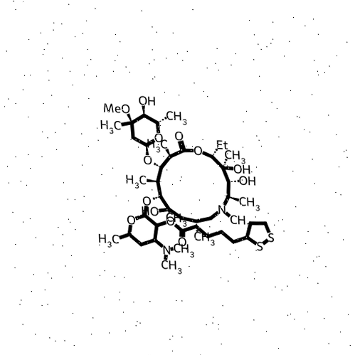 CC[C@H]1OC(=O)[C@H](C)[C@@H](O[C@H]2C[C@@](C)(OC)[C@@H](O)[C@H](C)O2)[C@H](C)[C@@H](OC2OC(C)CC(N(C)C)C2OC(=O)CCCCC2CCSS2)[C@](C)(O)C[C@@H](C)CN(C)[C@H](C)[C@@H](O)[C@]1(C)O